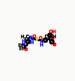 CCNC(Cc1ccc(C(C)=NNC(=O)CSCC(=O)Nc2ccc(-c3c4ccc(=O)cc-4oc4cc(O)ccc34)c(C(=O)O)c2)cc1)C(=O)CC